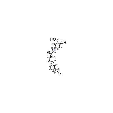 CNCc1cccc(C2CCN(C(=O)/C=C/c3ccc(O)c(CO)c3)CC2)c1